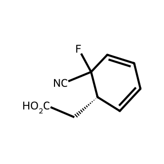 N#CC1(F)C=CC=C[C@@H]1CC(=O)O